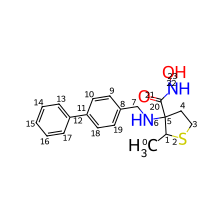 CC1SCCC1(NCc1ccc(-c2ccccc2)cc1)C(=O)NO